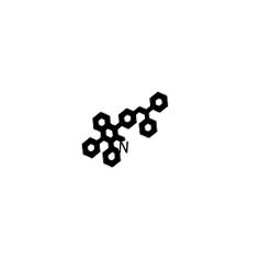 C(=C(c1ccccc1)c1ccccc1)c1ccc(-c2c3ccccc3c(-c3ccccc3)c3c2cnc2ccccc23)cc1